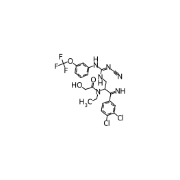 CCN(C(=O)CO)C(CN/C(=N\C#N)Nc1cccc(OC(F)(F)F)c1)C(=N)c1ccc(Cl)c(Cl)c1